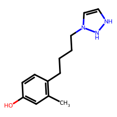 Cc1cc(O)ccc1CCCCN1C=CNN1